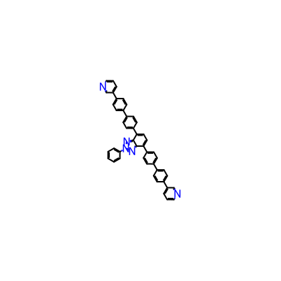 c1ccc(-n2nc3c(-c4ccc(-c5ccc(-c6cccnc6)cc5)cc4)ccc(-c4ccc(-c5ccc(-c6cccnc6)cc5)cc4)c3n2)cc1